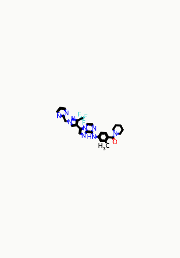 Cc1cc(Nc2nccn3c(-c4cn(Cc5ncccn5)nc4C(F)(F)F)cnc23)ccc1C(=O)N1CCCCC1